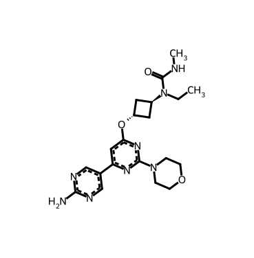 CCN(C(=O)NC)[C@H]1C[C@H](Oc2cc(-c3cnc(N)nc3)nc(N3CCOCC3)n2)C1